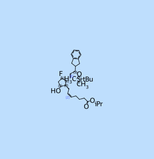 CC(C)OC(=O)CCC/C=C\C[C@@H]1[C@@H](/C=C/[C@@H](O[Si](C)(C)C(C)(C)C)C2Cc3ccccc3C2)[C@@H](F)C[C@@H]1O